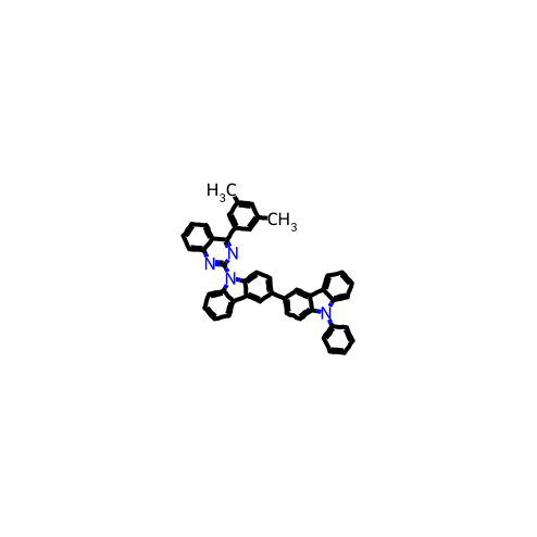 Cc1cc(C)cc(-c2nc(-n3c4ccccc4c4cc(-c5ccc6c(c5)c5ccccc5n6-c5ccccc5)ccc43)nc3ccccc23)c1